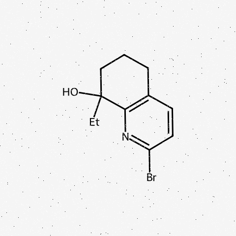 CCC1(O)CCCc2ccc(Br)nc21